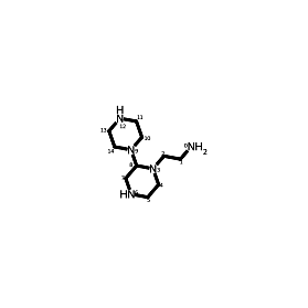 NCCN1CCNCC1N1CCNCC1